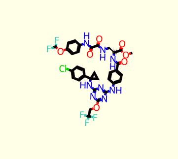 COC(=O)[C@H](CNC(=O)C(=O)Nc1ccc(OC(F)F)cc1)NC(=O)c1ccc(Nc2nc(NC3(c4ccc(Cl)cc4)CC3)nc(OCC(F)(F)F)n2)cc1